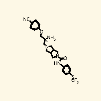 N#Cc1ccc(OC[C@@H](N)CN2CC3CN(C(=O)Nc4ccc(SC(F)(F)F)cc4)CC3C2)cc1